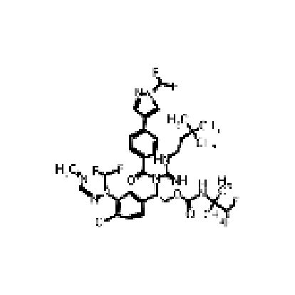 C=N/C=N\N(c1cc([C@@H](COC(=O)NC(C)(C)C(F)F)N(C(=N)NCCC(C)(C)C)C(=O)c2ccc(-c3cnn(C(F)F)c3)cc2)ccc1Cl)C(F)F